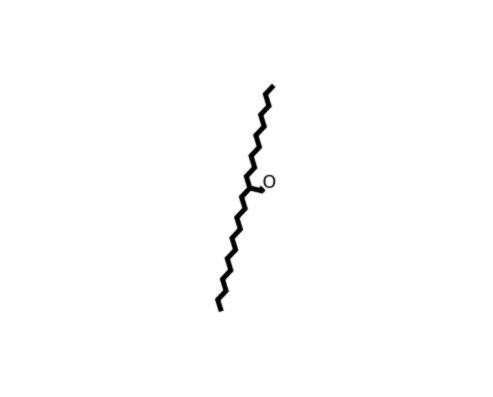 CCCCCCCCCCCCC(C=O)CCCCCCCCCC